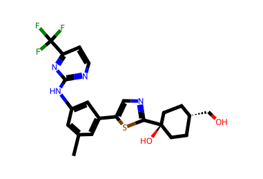 Cc1cc(Nc2nccc(C(F)(F)F)n2)cc(-c2cnc([C@]3(O)CC[C@H](CO)CC3)s2)c1